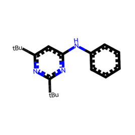 CC(C)(C)c1cc(Nc2ccccc2)nc(C(C)(C)C)n1